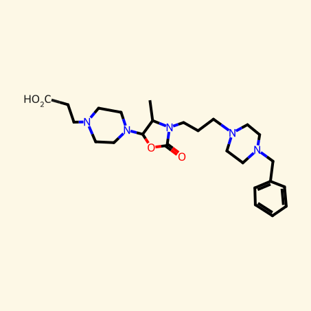 CC1C(N2CCN(CCC(=O)O)CC2)OC(=O)N1CCCN1CCN(Cc2ccccc2)CC1